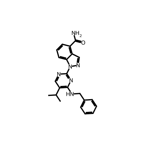 CC(C)c1cnc(-n2ncc3c(C(N)=O)cccc32)nc1NCc1ccccc1